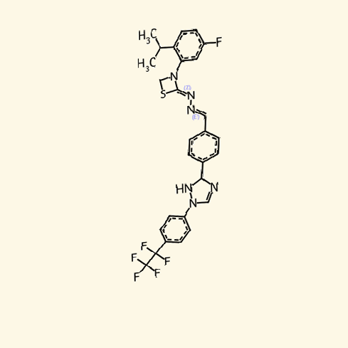 CC(C)c1ccc(F)cc1N1CS/C1=N\N=C\c1ccc(C2N=CN(c3ccc(C(F)(F)C(F)(F)F)cc3)N2)cc1